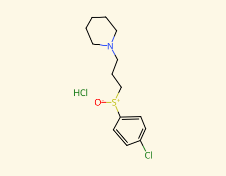 Cl.[O-][S+](CCCN1CCCCC1)c1ccc(Cl)cc1